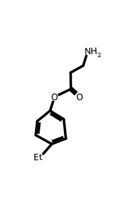 CCc1ccc(OC(=O)CCN)cc1